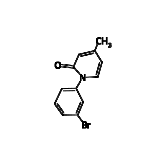 Cc1ccn(-c2cccc(Br)c2)c(=O)c1